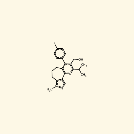 CC(C)c1nc2c(c(-c3ccc(F)cc3)c1CO)CCCc1c-2cnn1C